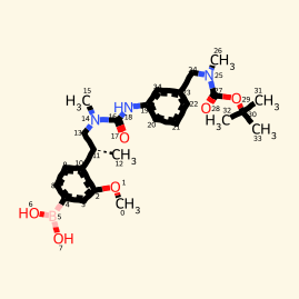 COc1cc(B(O)O)ccc1[C@@H](C)CN(C)C(=O)Nc1cccc(CN(C)C(=O)OC(C)(C)C)c1